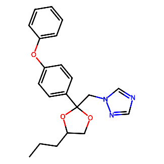 CCCC1COC(Cn2cncn2)(c2ccc(Oc3ccccc3)cc2)O1